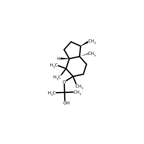 C[C@@H]1CC[C@H]2C(C)(C)C(C)(OC(C)(C)O)CC[C@]12C